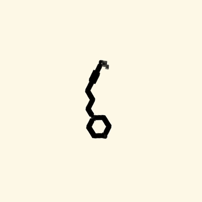 CC#CCCCN1CCOCC1